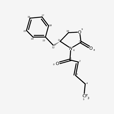 O=C(C=CCC(F)(F)F)N1C(=O)OC[C@H]1Cc1ccccc1